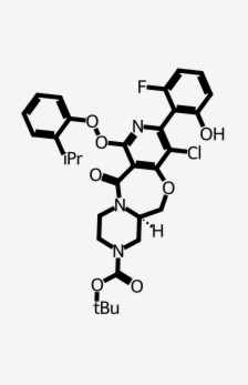 CC(C)c1ccccc1OOc1nc(-c2c(O)cccc2F)c(Cl)c2c1C(=O)N1CCN(C(=O)OC(C)(C)C)C[C@@H]1CO2